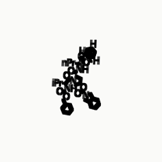 CCC[C@H](NC(=O)[C@@H]1C[C@@H](OC(=O)N2Cc3ccccc3C2)CN1C(=O)[C@@H](NC(=O)OCc1ccccc1)C(C)C)B1O[C@@H]2C[C@@H]3C[C@@H](C3(C)C)[C@]2(C)O1